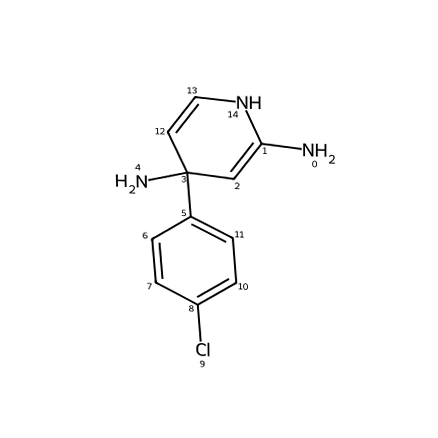 NC1=CC(N)(c2ccc(Cl)cc2)C=CN1